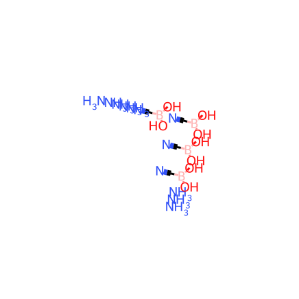 N.N.N.N.N.N.N.N.N#CB(O)O.N#CB(O)O.N#CB(O)O.N#CB(O)O